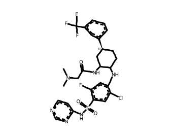 CN(C)CC(=O)NC1C[C@@H](c2cccc(C(F)(F)F)c2)CCC1Nc1cc(F)c(S(=O)(=O)Nc2ccncn2)cc1Cl